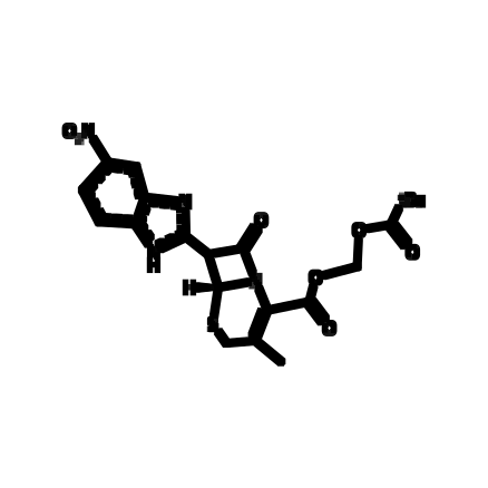 CC1=C(C(=O)OCOC(=O)C(C)(C)C)N2C(=O)C(c3nc4cc([N+](=O)[O-])ccc4[nH]3)[C@H]2SC1